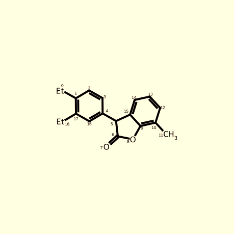 CCc1ccc(C2C(=O)Oc3c(C)cccc32)cc1CC